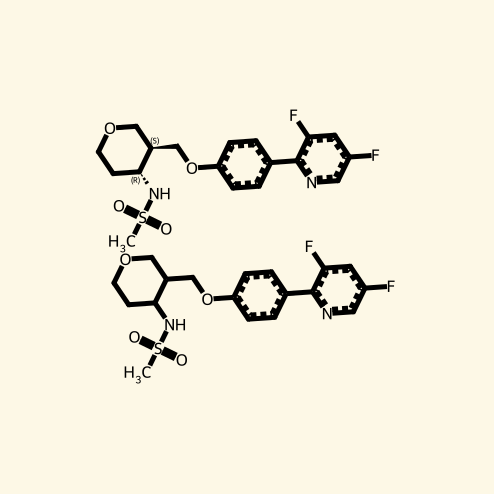 CS(=O)(=O)NC1CCOCC1COc1ccc(-c2ncc(F)cc2F)cc1.CS(=O)(=O)N[C@@H]1CCOC[C@H]1COc1ccc(-c2ncc(F)cc2F)cc1